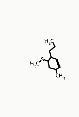 CCCC1C=CC(C)CC1SC